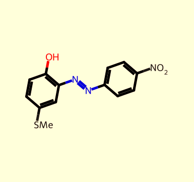 CSc1ccc(O)c(N=Nc2ccc([N+](=O)[O-])cc2)c1